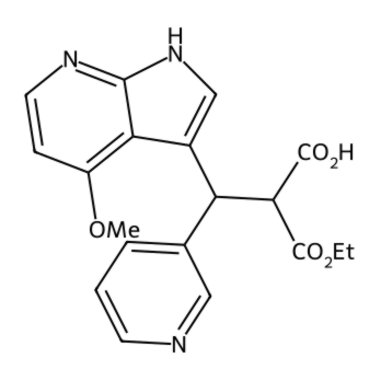 CCOC(=O)C(C(=O)O)C(c1cccnc1)c1c[nH]c2nccc(OC)c12